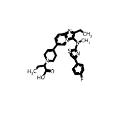 CCc1nc2ccc(C3=CCN(C(CC)C(=O)O)CC3)cn2c1N(C)c1nc(-c2ccc(F)cc2)cs1